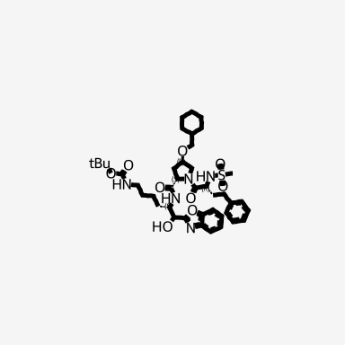 CC(C)(C)OC(=O)NCCCC[C@H](NC(=O)[C@@H]1C[C@@H](OCC2CCCCC2)CN1C(=O)[C@@H](CCc1ccccc1)NS(C)(=O)=O)C(O)c1nc2ccccc2o1